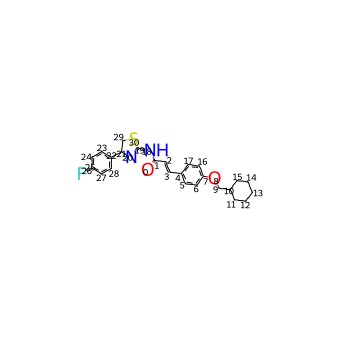 O=C(/C=C/c1ccc(OCC2CCCCC2)cc1)NC1=NC(c2ccc(F)cc2)CS1